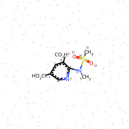 CN(c1ncc(C(=O)O)cc1C(=O)O)S(C)(=O)=O